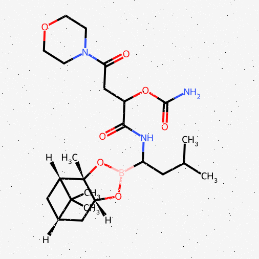 CC(C)CC(NC(=O)C(CC(=O)N1CCOCC1)OC(N)=O)B1O[C@@H]2C[C@@H]3C[C@@H](C3(C)C)[C@]2(C)O1